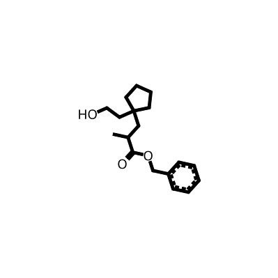 CC(CC1(CCO)CCCC1)C(=O)OCc1ccccc1